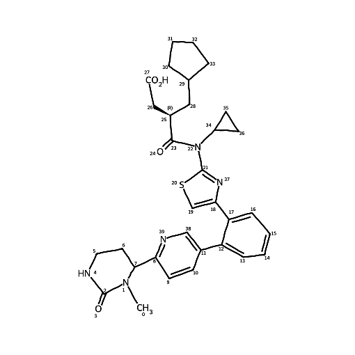 CN1C(=O)NCCC1c1ccc(-c2ccccc2-c2csc(N(C(=O)[C@@H](CC(=O)O)CC3CCCC3)C3CC3)n2)cn1